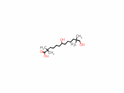 CC(C)(CO)CCCCC(O)CCCCC(C)(C)C(=O)O